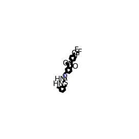 Cc1cccc(C)c1NC(=S)N/N=C/c1ccc2c(c1)C(=O)N(c1ccc(OC(F)(F)F)cc1)C2=O